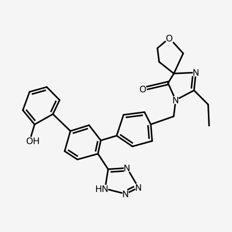 CCC1=NC2(CCOC2)C(=O)N1Cc1ccc(-c2cc(-c3ccccc3O)ccc2-c2nnn[nH]2)cc1